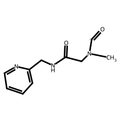 CN([C]=O)CC(=O)NCc1ccccn1